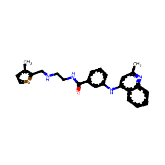 Cc1cc(Nc2cccc(C(=O)NCCNCc3sccc3C)c2)c2ccccc2n1